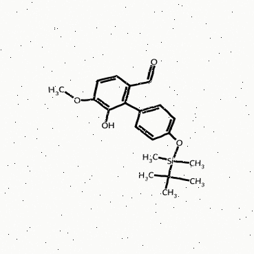 COc1ccc(C=O)c(-c2ccc(O[Si](C)(C)C(C)(C)C)cc2)c1O